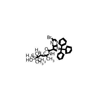 CC(C)(CCC(C)(C)[Si](C)(C)O)NC(=O)c1cn(C(c2ccccc2)(c2ccccc2)c2ccccc2)c2ncc(Br)nc12